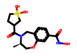 C[C@H]1COc2cc(C(=O)NO)ccc2CN1C(=O)C1CCS(O)(O)C1